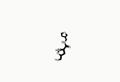 O=C(NCC1CCOC1)C1CC(CO)ON1